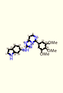 COc1cc(-c2nccc3nc(Nc4ccc5cc[nH]c5c4)nn23)cc(OC)c1OC